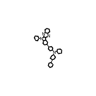 c1ccc(-c2ccc(N(c3ccccc3)c3ccc(-c4ccc5c(c4)c4nc6ccccc6nc4n5-c4ccccc4)cc3)cc2)cc1